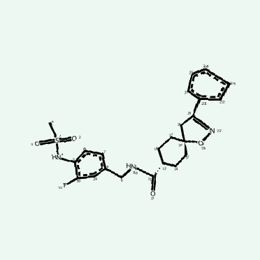 CS(=O)(=O)Nc1ccc(CNC(=O)[C@H]2CC[C@@]3(CC2)CC(c2ccccc2)=NO3)cc1F